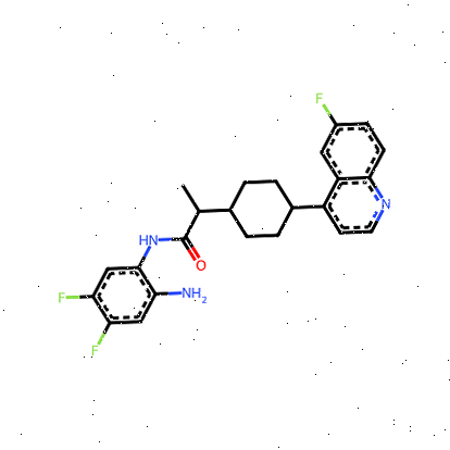 CC(C(=O)Nc1cc(F)c(F)cc1N)C1CCC(c2ccnc3ccc(F)cc23)CC1